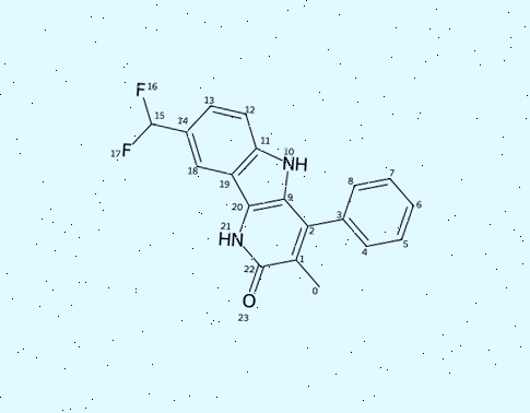 Cc1c(-c2ccccc2)c2[nH]c3ccc(C(F)F)cc3c2[nH]c1=O